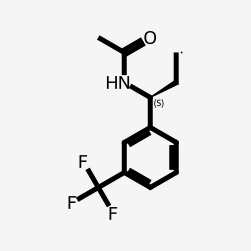 [CH2]C[C@H](NC(C)=O)c1cccc(C(F)(F)F)c1